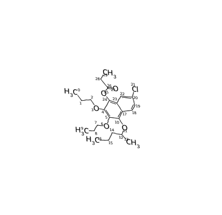 CCCOc1c(OCCC)c(OC(C)CCC)c2ccc(Cl)cc2c1OC(=O)CC